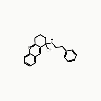 OC1(NCCc2ccccc2)CCCc2nc3ccccc3cc21